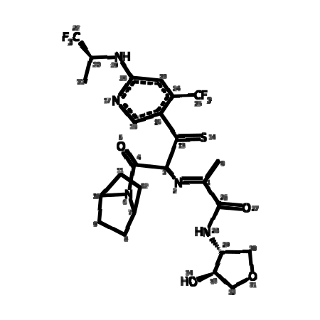 C/C(=N\C(C(=O)N1C2CCC1CC2)C(=S)c1cnc(N[C@@H](C)C(F)(F)F)cc1C(F)(F)F)C(=O)N[C@@H]1COC[C@H]1O